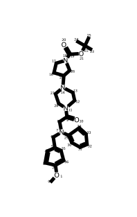 COc1ccc(CN(CC(=O)N2CCN(C3CCN(C(=O)OC(C)(C)C)C3)CC2)c2ccccc2)cc1